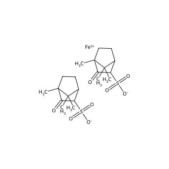 CC12CCC(C(S(=O)(=O)[O-])C1=O)C2(C)C.CC12CCC(C(S(=O)(=O)[O-])C1=O)C2(C)C.[Fe+2]